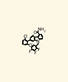 NC(=O)c1cccc2c1c1[c]cc(-c3c(Cl)cccc3Cl)cc1n2Cc1ccc(F)c(F)c1F